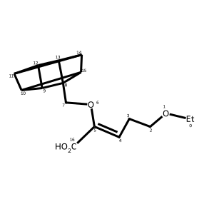 CCOCC/C=C(\OCC12C3C4C5C3C1C5C42)C(=O)O